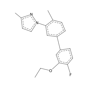 CCOc1cc(-c2ccc(C)c(-n3ccc(C)n3)c2)ccc1F